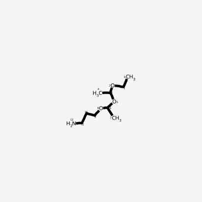 CCOC(C)OC(C)OCCCN